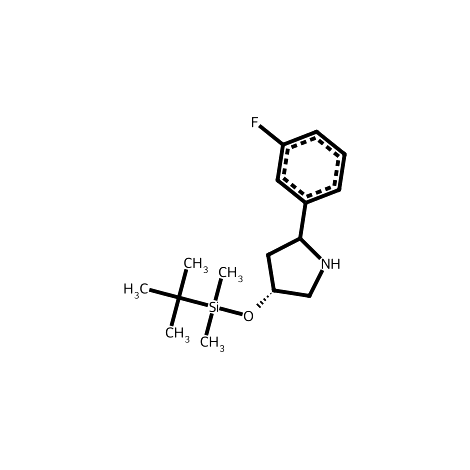 CC(C)(C)[Si](C)(C)O[C@H]1CNC(c2cccc(F)c2)C1